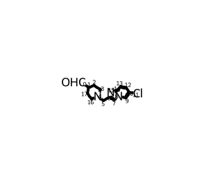 O=CC1CCN(Cc2cn3cc(Cl)ccc3n2)CC1